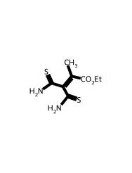 CCOC(=O)C(C)=C(C(N)=S)C(N)=S